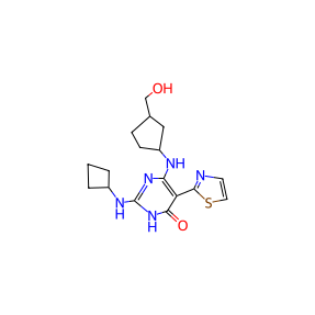 O=c1[nH]c(NC2CCC2)nc(NC2CCC(CO)C2)c1-c1nccs1